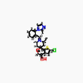 Cc1nccn1-c1ccccc1CN1CC[C@]2(C[C@@H]1C)OC[C@H](O)c1cc(Cl)sc12